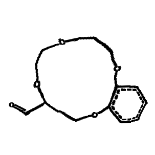 O=CC1CCOc2ccccc2OCCCOCCO1